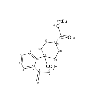 C=C(C)c1ccccc1C1(C(=O)O)CCN(C(=O)OC(C)(C)C)CC1